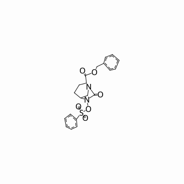 O=C(OCc1ccccc1)C1CCC2CN1C(=O)N2OS(=O)(=O)c1ccccc1